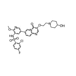 COc1ncc(-c2ccc3ncc(OCCN4CCC(O)CC4)c(=O)n3c2)cc1NS(=O)(=O)c1ccc(F)cc1Cl